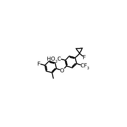 Cc1cc(F)ccc1Oc1cc(C(F)(F)F)c(C2(F)CC2)cc1C(=O)O